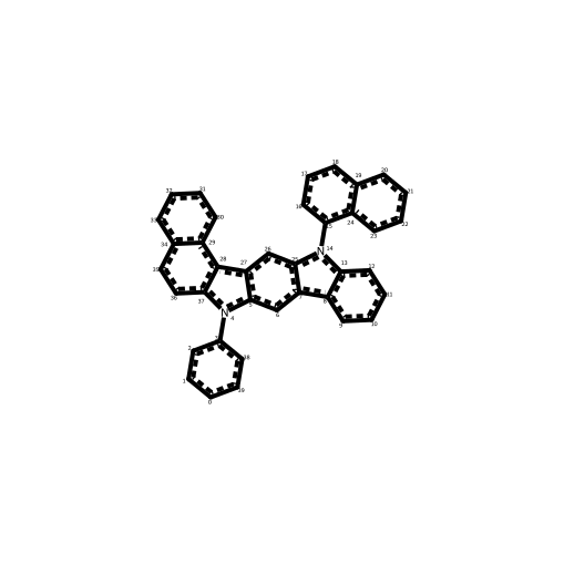 c1ccc(-n2c3cc4c5ccccc5n(-c5cccc6ccccc56)c4cc3c3c4ccccc4ccc32)cc1